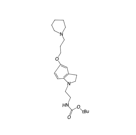 CC(C)(C)OC(=O)NCCN1CCc2cc(OCCCN3CCCCC3)ccc21